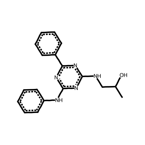 CC(O)CNc1nc(Nc2ccccc2)nc(-c2ccccc2)n1